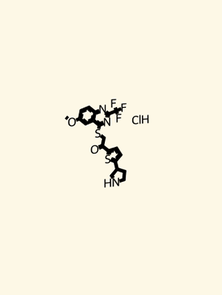 COc1ccc2nc(C(F)(F)F)nc(SCC(=O)c3ccc(C4CCNC4)s3)c2c1.Cl